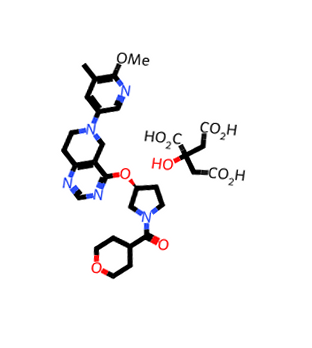 COc1ncc(N2CCc3ncnc(O[C@H]4CCN(C(=O)C5CCOCC5)C4)c3C2)cc1C.O=C(O)CC(O)(CC(=O)O)C(=O)O